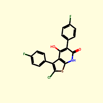 O=c1[nH]c2sc(Cl)c(-c3ccc(F)cc3)c2c(O)c1-c1ccc(F)cc1